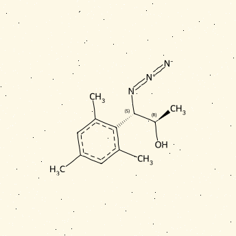 Cc1cc(C)c([C@H](N=[N+]=[N-])[C@@H](C)O)c(C)c1